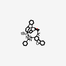 CC(C)(C)c1ccc2c(c1)C13c4ccccc4-c4ccc(cc41)-c1nc(-c4ccccc4)nc(n1)-c1cc4oc5ccccc5c4cc1C(C)(C)c1ccc-2c3c1